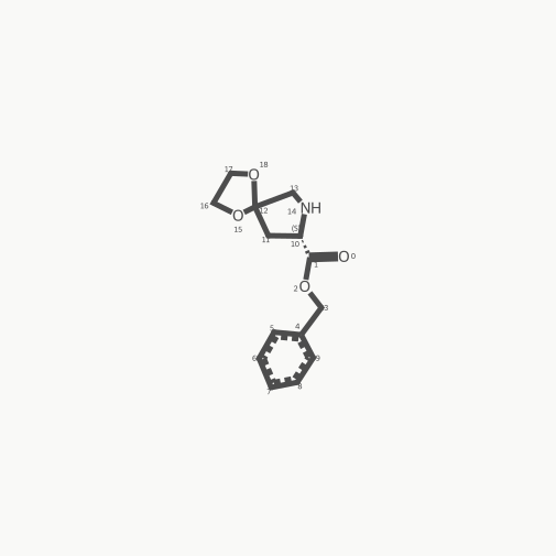 O=C(OCc1ccccc1)[C@@H]1CC2(CN1)OCCO2